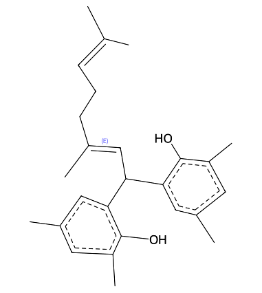 CC(C)=CCC/C(C)=C/C(c1cc(C)cc(C)c1O)c1cc(C)cc(C)c1O